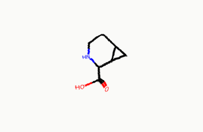 O=C(O)C1NCCC2C[C]21